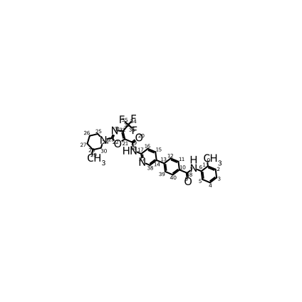 Cc1ccccc1NC(=O)c1ccc(-c2ccc(NC(=O)c3oc(N4CCCC(C)C4)nc3C(F)(F)F)nc2)cc1